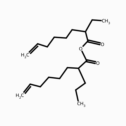 C=CCCCCC(CC)C(=O)OC(=O)C(CCC)CCCCC=C